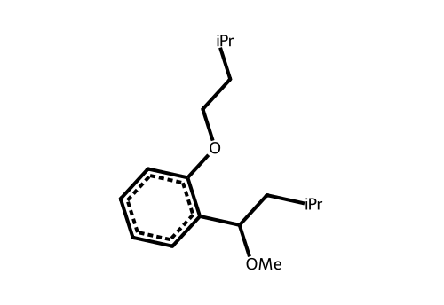 COC(CC(C)C)c1ccccc1OCCC(C)C